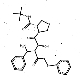 CC(C)(C)NC(=O)[C@@H]1CSCN1C(=O)[C@@H](O)[C@@H](C(=O)COc1ccccc1)C(N)c1ccccc1